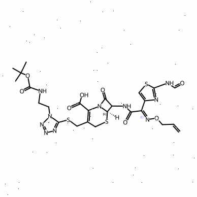 C=CCO/N=C(/C(=O)NC1C(=O)N2C(C(=O)O)=C(CSc3nnnn3CCNC(=O)OC(C)(C)C)CS[C@H]12)c1csc(NC=O)n1